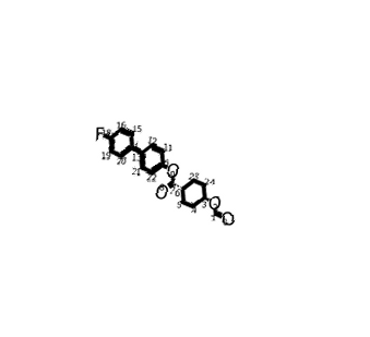 O=CO[C@H]1CC[C@H](C(=O)Oc2ccc(-c3ccc(F)cc3)cc2)CC1